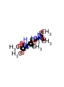 COc1cc(OC)c2c(=O)[nH]c(-c3cc(C)c(OCCNc4nc(OC)cc(OC)n4)c(C)c3)nc2c1